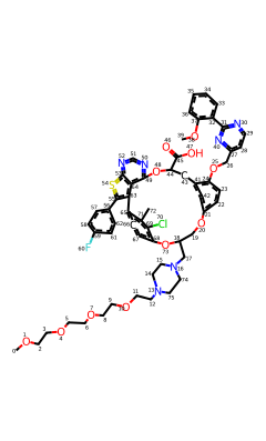 COCCOCCOCCOCCN1CCN(CC2COc3ccc(OCc4ccnc(-c5ccccc5OC)n4)c(c3)CC(C(=O)O)Oc3ncnc4sc(-c5ccc(F)cc5)c(c34)-c3ccc(c(Cl)c3C)O2)CC1